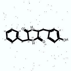 O=C1NC(Cc2ccc(O)cc2)C(=O)NC1Cc1ccccc1